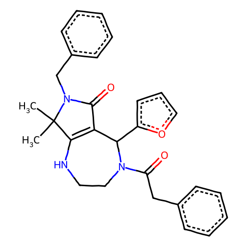 CC1(C)C2=C(C(=O)N1Cc1ccccc1)C(c1ccco1)N(C(=O)Cc1ccccc1)CCN2